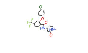 CN/C=C\C(=C/C=O)NC(=O)c1ccc(C(F)(F)F)cc1Oc1ccc(Cl)cc1